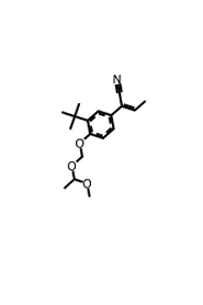 CC=C(C#N)c1ccc(OCOC(C)OC)c(C(C)(C)C)c1